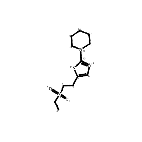 CCS(=O)(=O)CCc1cnc(N2CCCCC2)s1